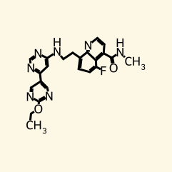 CCOc1ncc(-c2cc(NCCc3ccc(F)c4c(C(=O)NC)ccnc34)ncn2)cn1